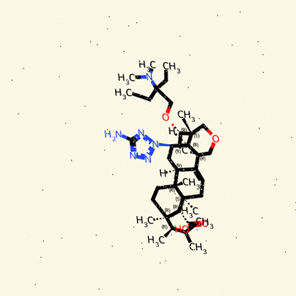 CCC(CC)(CO[C@H]1[C@H](n2nnc(N)n2)C[C@@]23COC[C@]1(C)[C@@H]2CC[C@H]1C3=CC[C@@]2(C)[C@H](C(=O)O)[C@@](C)([C@H](C)C(C)C)CC[C@]12C)N(C)C